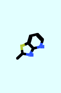 CC1NC2NC=CC=C2S1